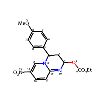 CCOC(=O)OC1CC(c2ccc(OC)cc2)N2C=C([N+](=O)[O-])C=CC2=N1